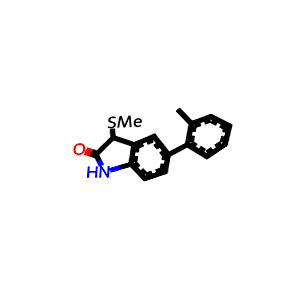 CSC1C(=O)Nc2ccc(-c3ccccc3C)cc21